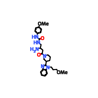 COCCCn1c(C2CCCN(C(=O)CC(N)CNC(=O)Nc3ccc(OC)cc3)C2)nc2ccccc21